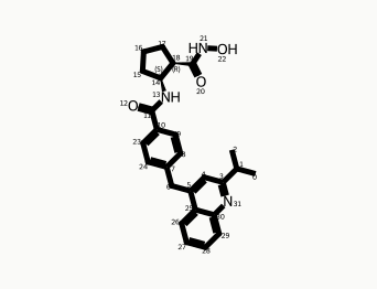 CC(C)c1cc(Cc2ccc(C(=O)N[C@H]3CCC[C@H]3C(=O)NO)cc2)c2ccccc2n1